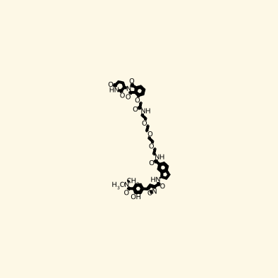 CN(C)C(=O)c1ccc(-c2cc(C(=O)N[C@@H]3CCc4ccc(C(=O)NCCOCCOCCOCCNC(=O)COc5cccc6c5C(=O)N(C5CCC(=O)NC5=O)C6=O)cc43)no2)cc1O